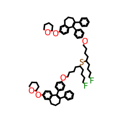 FCCCCC(CCCCOc1ccc(C2=C(c3ccccc3)CCCc3cc(OC4CCCCO4)ccc32)cc1)SC(CCCCF)CCCCOc1ccc(C2=C(c3ccccc3)CCCc3cc(OC4CCCCO4)ccc32)cc1